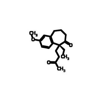 CC[C@]1(CCC(C)=O)C(=O)CCCc2cc(OC)ccc21